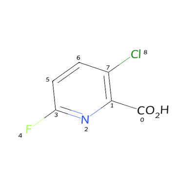 O=C(O)c1nc(F)ccc1Cl